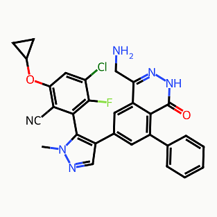 Cn1ncc(-c2cc(-c3ccccc3)c3c(=O)[nH]nc(CN)c3c2)c1-c1c(F)c(Cl)cc(OC2CC2)c1C#N